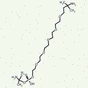 CC(C)(N)CCOCCOCCOCCOCCOCCOP(=O)(O)OC(C)(C)N